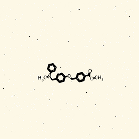 COC(=O)c1ccc(COc2ccc(CN(C)c3ccccc3)cc2)cc1